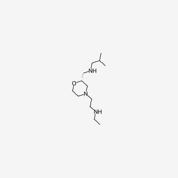 CCNCCN1CCO[C@H](CNCC(C)C)C1